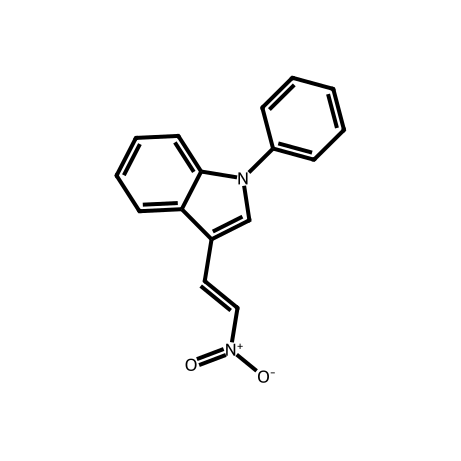 O=[N+]([O-])/C=C/c1cn(-c2ccccc2)c2ccccc12